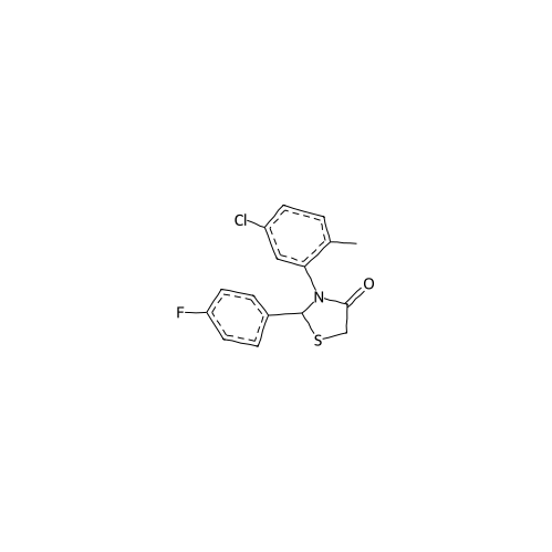 Cc1ccc(Cl)cc1N1C(=O)CSC1c1ccc(F)cc1